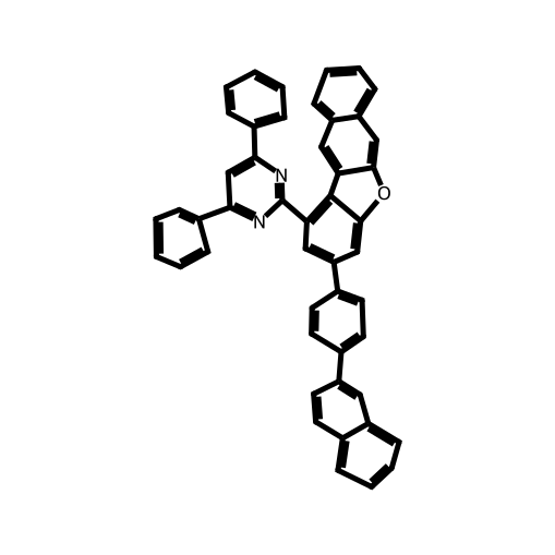 c1ccc(-c2cc(-c3ccccc3)nc(-c3cc(-c4ccc(-c5ccc6ccccc6c5)cc4)cc4oc5cc6ccccc6cc5c34)n2)cc1